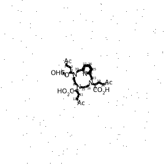 CC(=O)CC[C@H](OC=O)N1CCN([C@H](CCC(C)=O)C(=O)O)CCN([C@H](CCC(C)=O)C(=O)O)Cc2cccc(n2)C1